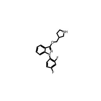 Fc1ccc(-n2nc(OCC3CCNC3)c3ccccc32)c(F)c1